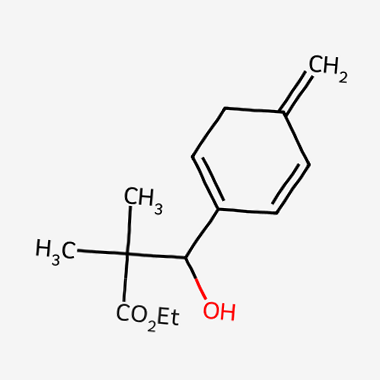 C=C1C=CC(C(O)C(C)(C)C(=O)OCC)=CC1